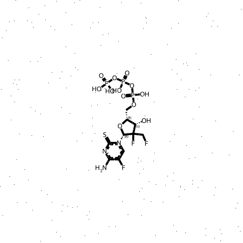 Nc1nc(=S)n([C@@H]2O[C@H](COP(=O)(O)OP(=O)(O)OP(=O)(O)O)[C@H](O)C2(F)CF)cc1F